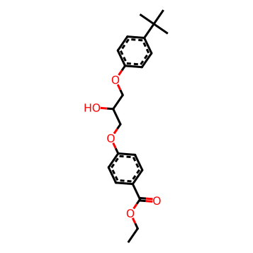 CCOC(=O)c1ccc(OCC(O)COc2ccc(C(C)(C)C)cc2)cc1